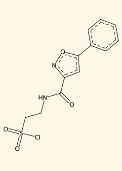 O=C(NCCS(=O)(=O)Cl)c1cc(-c2ccccc2)on1